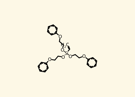 C=C[Si](OCCOc1ccccc1)(OCCOc1ccccc1)OCCOc1ccccc1